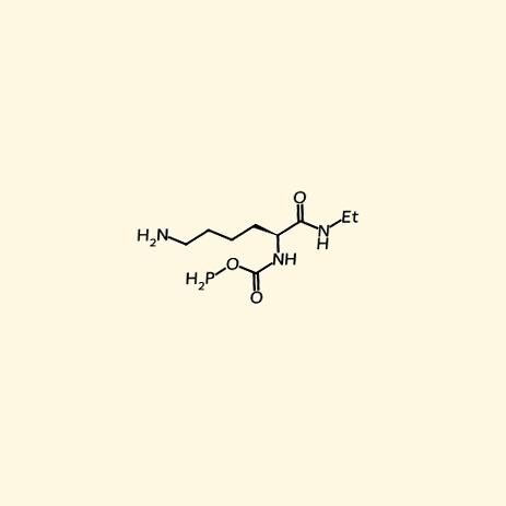 CCNC(=O)[C@H](CCCCN)NC(=O)OP